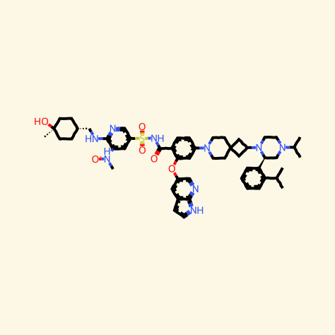 CC(C)c1ccccc1[C@@H]1CN(C(C)C)CCN1C1CC2(CCN(c3ccc(C(=O)NS(=O)(=O)c4cnc(NC[C@H]5CC[C@](C)(O)CC5)c([NH+](C)[O-])c4)c(Oc4cnc5[nH]ccc5c4)c3)CC2)C1